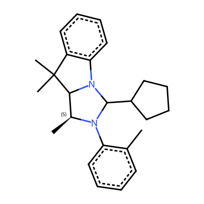 Cc1ccccc1N1C(C2CCCC2)N2c3ccccc3C(C)(C)C2[C@@H]1C